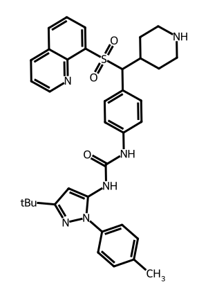 Cc1ccc(-n2nc(C(C)(C)C)cc2NC(=O)Nc2ccc(C(C3CCNCC3)S(=O)(=O)c3cccc4cccnc34)cc2)cc1